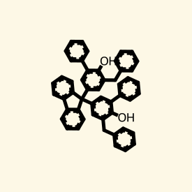 Oc1c(Cc2ccccc2)cc(C2(c3cc(Cc4ccccc4)c(O)c(-c4ccccc4)c3)c3ccccc3-c3ccccc32)cc1-c1ccccc1